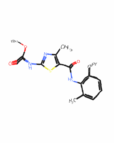 CCCc1cccc(C)c1NC(=O)c1sc(NC(=O)OC(C)(C)C)nc1C